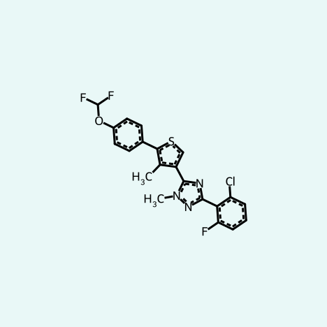 Cc1c(-c2nc(-c3c(F)cccc3Cl)nn2C)csc1-c1ccc(OC(F)F)cc1